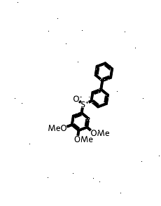 COc1cc([S+]([O-])c2cccc(-c3ccccc3)c2)cc(OC)c1OC